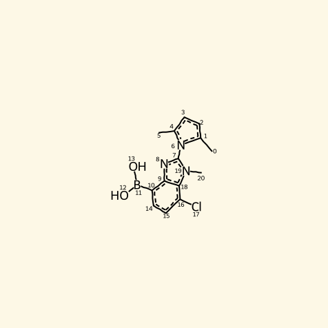 Cc1ccc(C)n1-c1nc2c(B(O)O)ccc(Cl)c2n1C